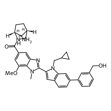 COc1cc(C(=O)N2C[C@H]3CC[C@@H]2[C@@H]3N)cc2nc(-c3cc4ccc(-c5cccc(CO)c5)cc4n3CC3CC3)n(C)c12